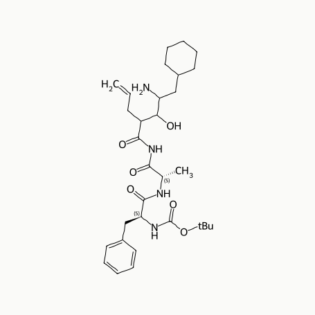 C=CCC(C(=O)NC(=O)[C@H](C)NC(=O)[C@H](Cc1ccccc1)NC(=O)OC(C)(C)C)C(O)C(N)CC1CCCCC1